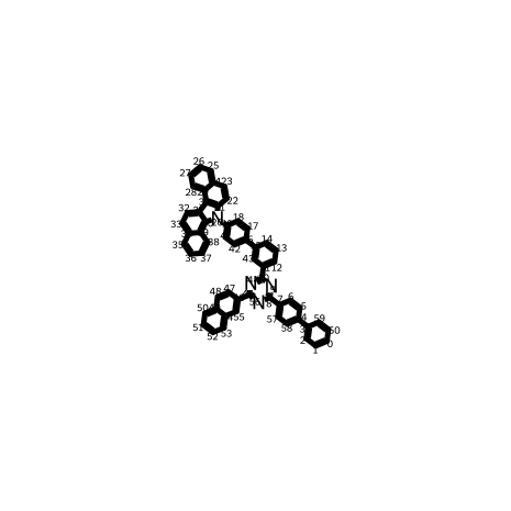 c1ccc(-c2ccc(-c3nc(-c4cccc(-c5ccc(-n6c7ccc8ccccc8c7c7ccc8ccccc8c76)cc5)c4)nc(-c4ccc5ccccc5c4)n3)cc2)cc1